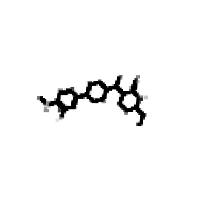 CCC1CCC(C(C)C2CCC(c3ccc(OC)c(F)c3)CC2)C(=O)O1